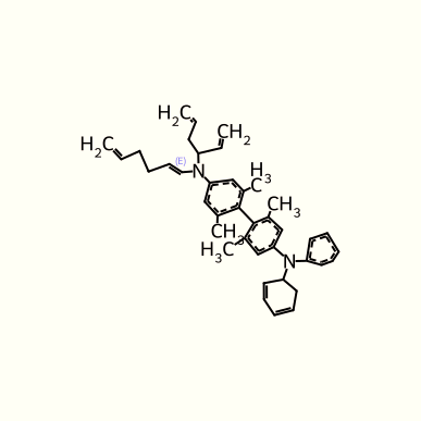 C=CCC/C=C/N(c1cc(C)c(-c2c(C)cc(N(c3ccccc3)C3C=CC=CC3)cc2C)c(C)c1)C(C=C)CC=C